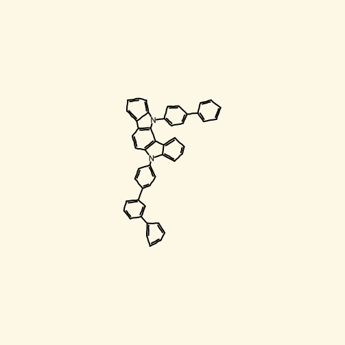 c1ccc(-c2ccc(-n3c4ccccc4c4ccc5c(c6ccccc6n5-c5ccc(-c6cccc(-c7ccccc7)c6)cc5)c43)cc2)cc1